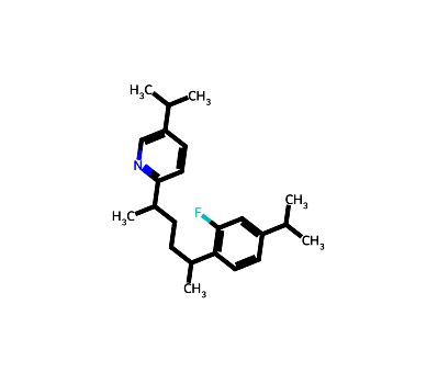 CC(C)c1ccc(C(C)CCC(C)c2ccc(C(C)C)cc2F)nc1